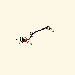 CC#CC#CC#CC#CC#CC#CC#CC#CC(=O)OCCCCCCCCCCC1=C(C)C(=O)C(C)=C(C)C1=O